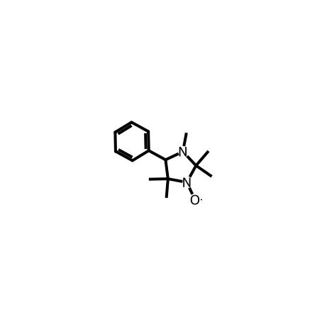 CN1C(c2ccccc2)C(C)(C)N([O])C1(C)C